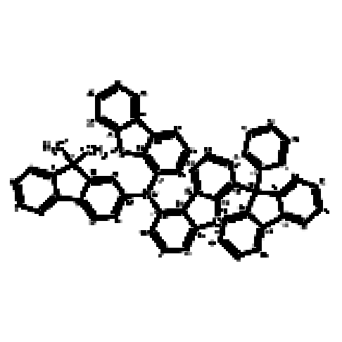 CC1(C)c2ccccc2-c2ccc(N(c3cccc4c3sc3ccccc34)c3cccc4oc5c(C6(c7ccccc7)c7ccccc7-c7ccccc76)cccc5c34)cc21